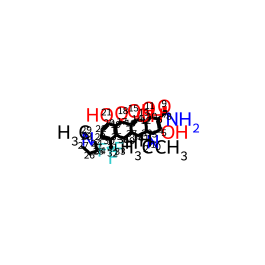 CN(C)[C@@H]1C(O)=C(C(N)=O)C(=O)[C@@]2(O)C(O)=C3C(=O)c4c(O)cc([C@@H]5CCCN5C)c(C(F)(F)F)c4C[C@H]3C[C@@H]12